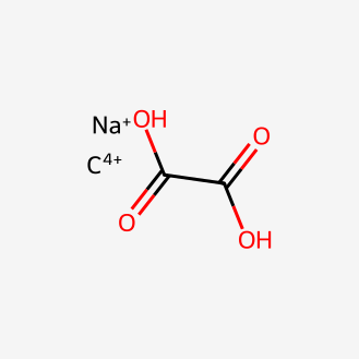 O=C(O)C(=O)O.[C+4].[Na+]